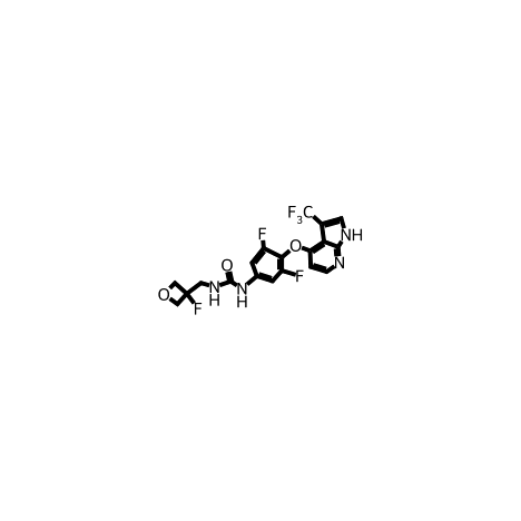 O=C(NCC1(F)COC1)Nc1cc(F)c(Oc2ccnc3[nH]cc(C(F)(F)F)c23)c(F)c1